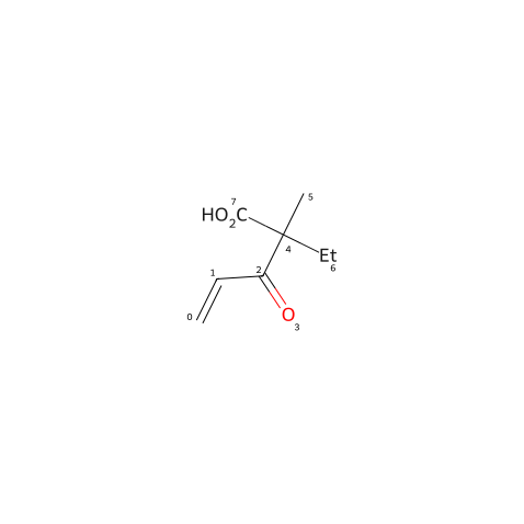 C=CC(=O)C(C)(CC)C(=O)O